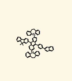 CC1(C)c2ccccc2-c2ccc(-c3c4ccc(N5c6ccccc6CCc6ccccc65)cc4c(-c4ccc(-c5ccc6ccccc6c5)cc4)c4ccc(N5c6ccccc6CCc6ccccc65)cc34)cc21